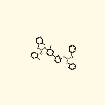 Cc1ccccc1OP(Oc1ccccc1C)Oc1ccc(-c2cccc(OP(Oc3ccccc3)Oc3ccccc3)c2)cc1C